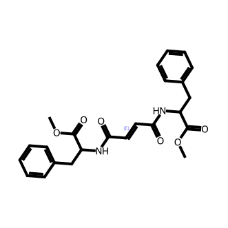 COC(=O)C(Cc1ccccc1)NC(=O)/C=C/C(=O)NC(Cc1ccccc1)C(=O)OC